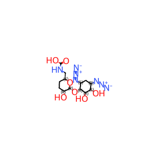 [N-]=[N+]=N[C@H]1C[C@@H](N=[N+]=[N-])[C@H](O)[C@@H](O)[C@@H]1O[C@H]1O[C@H](CNC(=O)O)CC[C@H]1O